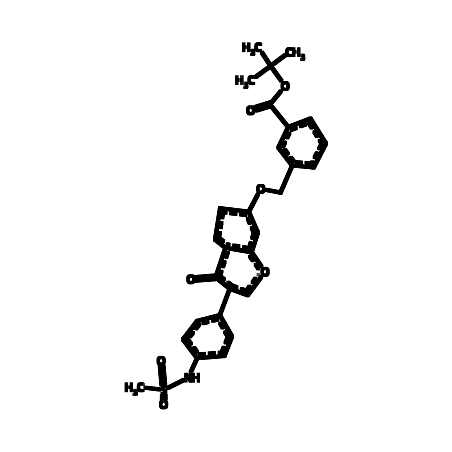 CC(C)(C)OC(=O)c1cccc(COc2ccc3c(=O)c(-c4ccc(NS(C)(=O)=O)cc4)coc3c2)c1